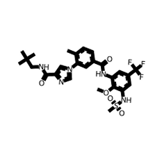 COc1c(NC(=O)c2ccc(C)c(-n3cnc(C(=O)NCC(C)(C)C)c3)c2)cc(C(F)(F)F)cc1NS(C)(=O)=O